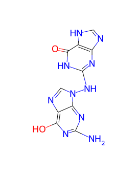 Nc1nc(O)c2ncn(Nc3nc4nc[nH]c4c(=O)[nH]3)c2n1